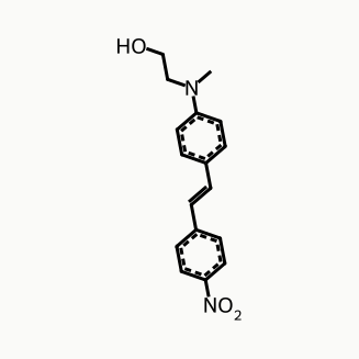 CN(CCO)c1ccc(C=Cc2ccc([N+](=O)[O-])cc2)cc1